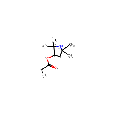 CCC(=O)OC1CC(C)(C)NC1(C)C